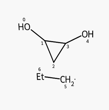 OC1CC1O.[CH2]CC